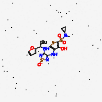 CN(C1CC1)S(=O)(=O)c1scc(Nc2n[s+]([O-])nc2N[C@@H](c2ccco2)C(C)(C)C)c1O